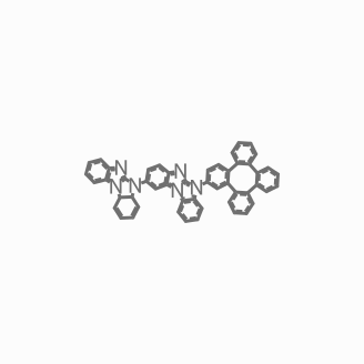 C1=CC2C(C=C1)n1c(nc3ccccc31)N2c1ccc2nc3n(-c4ccc5c(c4)-c4ccccc4-c4ccccc4-c4ccccc4-5)c4ccccc4n3c2c1